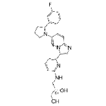 OC[C@@H](O)CNc1cccc(-c2cnc3ccc(N4CCCC4c4cccc(F)c4)nn23)n1